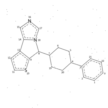 c1ccc(C2CCC(C3c4sccc4-c4cncn43)CC2)cc1